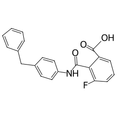 O=C(O)c1cccc(F)c1C(=O)Nc1ccc(Cc2ccccc2)cc1